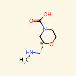 CNC[C@@H]1CN(C(=O)O)CCO1